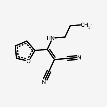 [CH2]CCNC(=C(C#N)C#N)c1ccco1